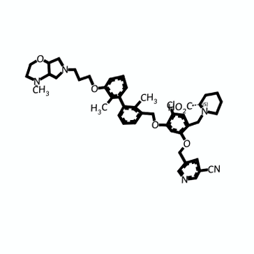 Cc1c(COc2cc(OCc3cncc(C#N)c3)c(CN3CCCC[C@H]3C(=O)O)cc2Cl)cccc1-c1cccc(OCCCN2CC3OCCN(C)C3C2)c1C